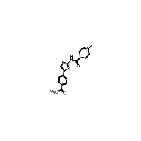 COC(=O)c1ccc(-c2csc(NC(=O)N3CCN(C)CC3)n2)cc1